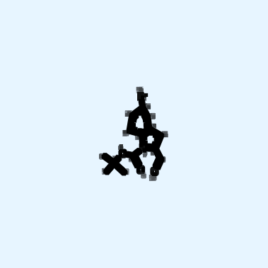 CC(C)(C)OC(=O)n1c(C=O)cc2cc(Br)ccc21